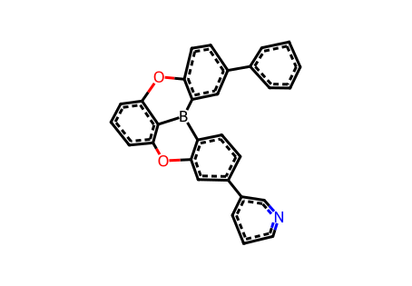 c1ccc(-c2ccc3c(c2)B2c4ccc(-c5cccnc5)cc4Oc4cccc(c42)O3)cc1